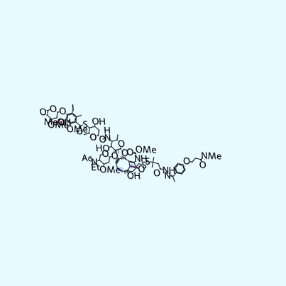 CCN(C(C)=O)C1COC(O[C@@H]2C(O[C@H]3C#C/C=C\[C@]4(O)CC(=O)C(NC(=O)OC)=C3/C4=C\CSSC(C)(C)CC(=O)NN=C(C)c3ccc(OCCC(=O)NC)cc3)OC(C)C(NOC3CC(O)C(SC(=O)c4c(C)c(I)c(OC5OC6OC6C(OC)C5O)c(OC)c4OC)C(C)O3)C2O)CC1OC